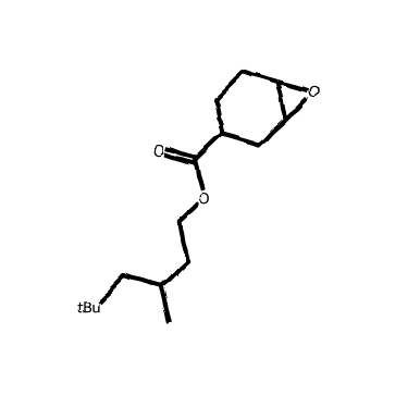 CC(CCOC(=O)C1CCC2OC2C1)CC(C)(C)C